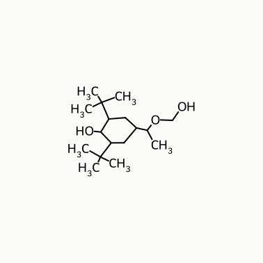 CC(OCO)C1CC(C(C)(C)C)C(O)C(C(C)(C)C)C1